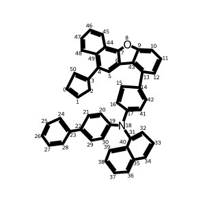 C1=CCC(c2cc3c(oc4cccc(-c5ccc(N(c6ccc(-c7ccccc7)cc6)c6cccc7ccccc67)cc5)c43)c3ccccc23)=C1